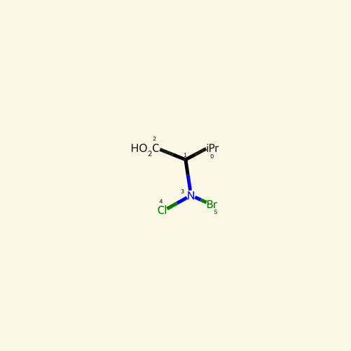 CC(C)C(C(=O)O)N(Cl)Br